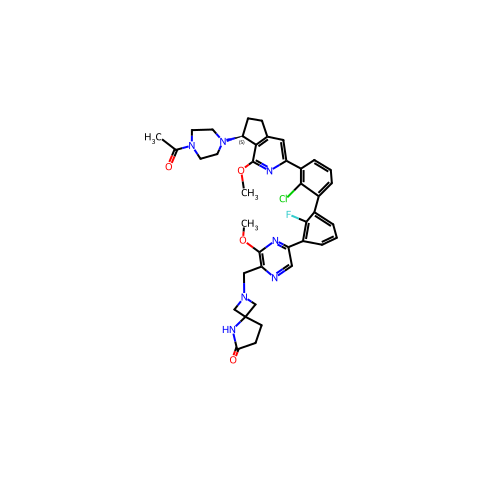 COc1nc(-c2cccc(-c3cccc(-c4cc5c(c(OC)n4)[C@@H](N4CCN(C(C)=O)CC4)CC5)c3Cl)c2F)cnc1CN1CC2(CCC(=O)N2)C1